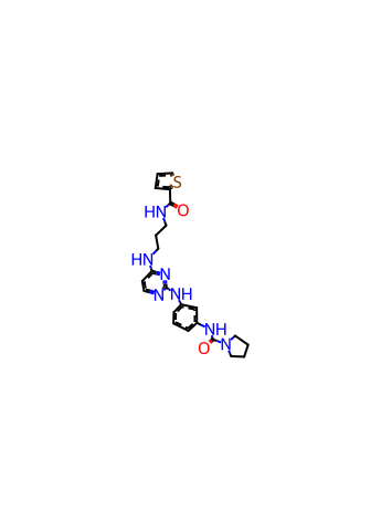 O=C(NCCCNc1ccnc(Nc2cccc(NC(=O)N3CCCC3)c2)n1)c1cccs1